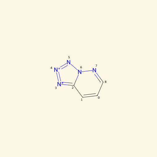 C1=CC2=[N+]=[N+]=NN2N=C1